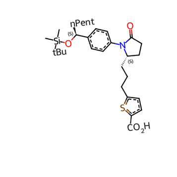 CCCCC[C@H](O[Si](C)(C)C(C)(C)C)c1ccc(N2C(=O)CC[C@@H]2CCCc2ccc(C(=O)O)s2)cc1